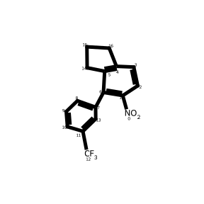 O=[N+]([O-])c1ccc2c(c1-c1cccc(C(F)(F)F)c1)CCC2